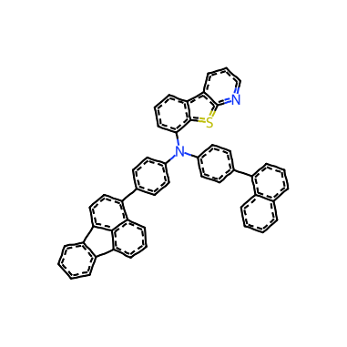 c1ccc2c(c1)-c1cccc3c(-c4ccc(N(c5ccc(-c6cccc7ccccc67)cc5)c5cccc6c5sc5ncccc56)cc4)ccc-2c13